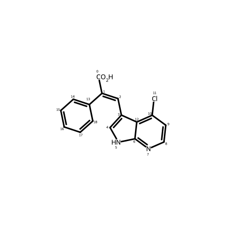 O=C(O)/C(=C/c1c[nH]c2nccc(Cl)c12)c1ccccc1